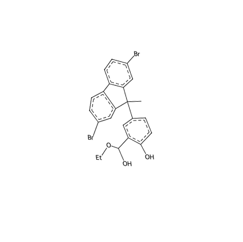 CCOC(O)c1cc(C2(C)c3cc(Br)ccc3-c3ccc(Br)cc32)ccc1O